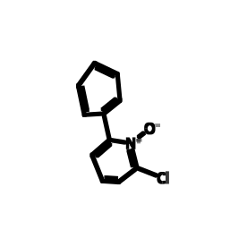 [O-][n+]1c(Cl)cccc1-c1ccccc1